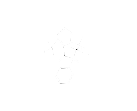 CC(C)(C)P(=O)(C(=O)c1c(C(F)(F)F)cccc1C(F)(F)F)c1ccccc1